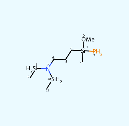 CO[Si](C)(P)CCCN([SiH2]C)[SiH2]C